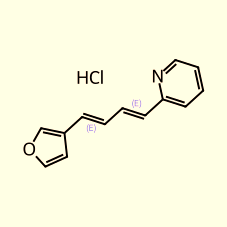 C(/C=C/c1ccccn1)=C\c1ccoc1.Cl